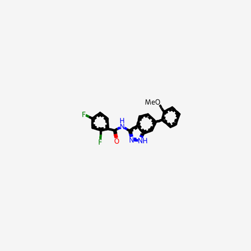 COc1ccccc1-c1ccc2c(NC(=O)c3ccc(F)cc3F)n[nH]c2c1